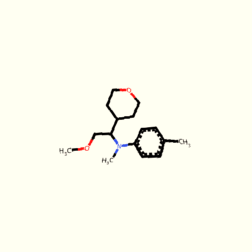 COCC(C1CCOCC1)N(C)c1ccc(C)cc1